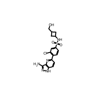 Nc1n[nH]c2ccc(-c3ccc(S(=O)(=O)NC4CC(CO)C4)cc3Cl)nc12